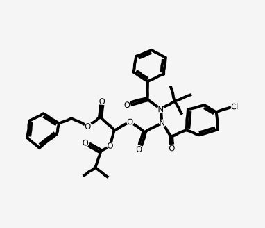 CC(C)C(=O)OC(OC(=O)N(C(=O)c1ccc(Cl)cc1)N(C(=O)c1ccccc1)C(C)(C)C)C(=O)OCc1ccccc1